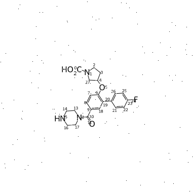 O=C(O)N1CCC(Oc2ccc(C(=O)N3CCNCC3)cc2-c2ccc(F)cc2)C1